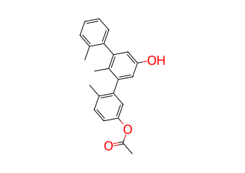 CC(=O)Oc1ccc(C)c(-c2cc(O)cc(-c3ccccc3C)c2C)c1